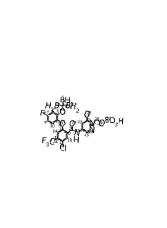 BC(B)(B)Oc1cc(F)ccc1Oc1cc(C(F)(F)F)c(Cl)cc1C(=O)Nc1cnn(COS(=O)(=O)O)c(=O)c1